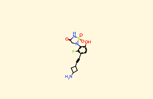 NC1CC(C#Cc2ccc(O)c(N3CC(=O)NS3(=O)=O)c2F)C1